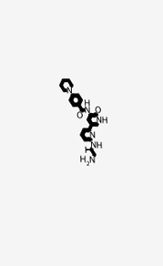 NC[C@@H](I)Nc1cccc(-c2c[nH]c(=O)c(NC(=O)c3ccc(N4CCCCC4)cc3)c2)n1